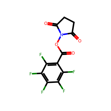 O=C(ON1C(=O)CCC1=O)c1c(F)c(F)c(F)c(F)c1F